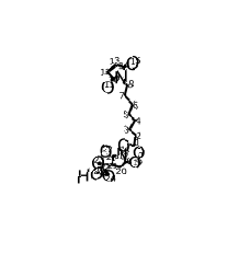 O=C(CCCCCCCN1C(=O)C=CC1=O)ON1C(=O)CC(S(=O)(=O)O)C1=O